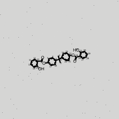 CC(C)(c1ccc(OC(=O)c2ccccc2O)cc1)c1ccc(OC(=O)c2ccccc2O)cc1